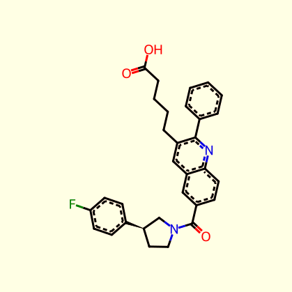 O=C(O)CCCCc1cc2cc(C(=O)N3CC[C@@H](c4ccc(F)cc4)C3)ccc2nc1-c1ccccc1